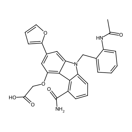 CC(=O)Nc1ccccc1Cn1c2cc(-c3ccco3)cc(OCC(=O)O)c2c2c(C(N)=O)cccc21